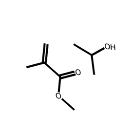 C=C(C)C(=O)OC.CC(C)O